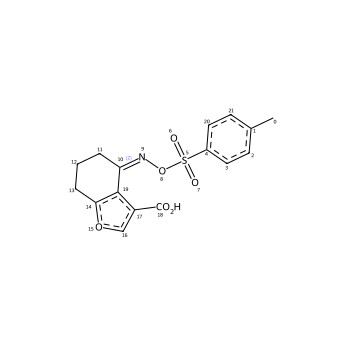 Cc1ccc(S(=O)(=O)O/N=C2/CCCc3occ(C(=O)O)c32)cc1